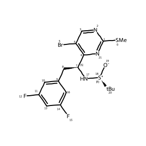 CSc1ncc(Br)c([C@H](Cc2cc(F)cc(F)c2)N[S@@+]([O-])C(C)(C)C)n1